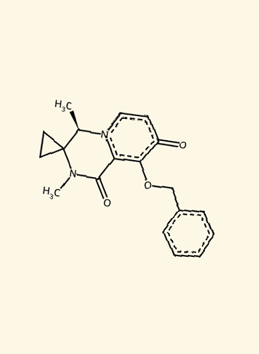 C[C@H]1n2ccc(=O)c(OCc3ccccc3)c2C(=O)N(C)C12CC2